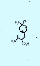 NN[C@@H](CC1=CCC(N)(O)C=C1)C(=O)O